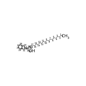 CCCCCCCCCCCCCCCCCCOCC(CO)N1Cc2ccccc2C1